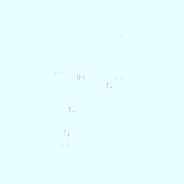 CN1CCN(CCCc2noc3cc(F)ccc23)CC1.Cl.Cl